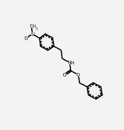 C[S+]([O-])c1ccc(CCNC(=O)OCc2ccccc2)cc1